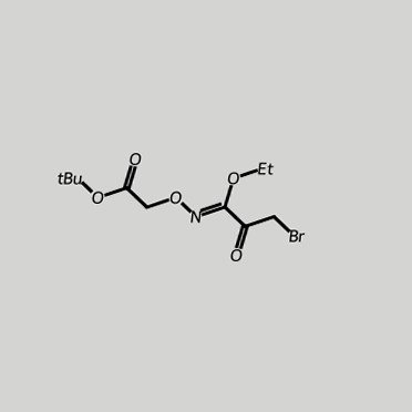 CCO/C(=N\OCC(=O)OC(C)(C)C)C(=O)CBr